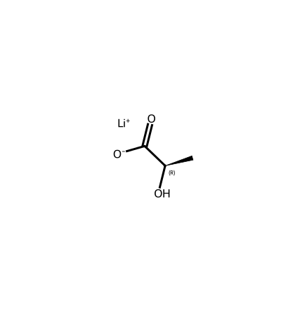 C[C@@H](O)C(=O)[O-].[Li+]